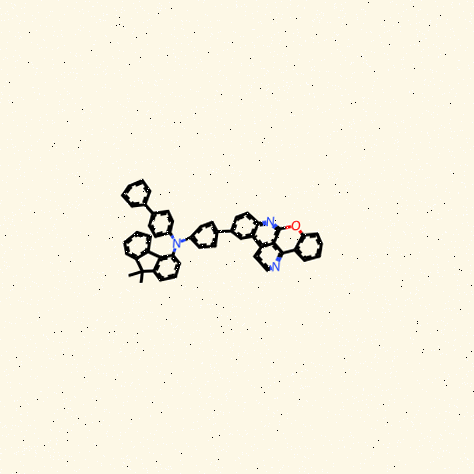 CC1(C)c2ccccc2-c2c(N(c3ccc(-c4ccccc4)cc3)c3ccc(-c4ccc5nc6c7c(nccc7c5c4)-c4ccccc4O6)cc3)cccc21